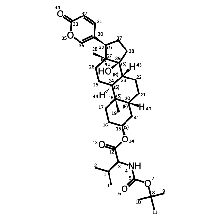 CC(C)C(NC(=O)OC(C)(C)C)C(=O)O[C@H]1CC[C@@]2(C)[C@H](CC[C@@H]3[C@@H]2CC[C@]2(C)[C@@H](c4ccc(=O)oc4)CC[C@]32O)C1